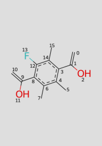 C=C(O)c1c(C)c(C)c(C(=C)O)c(F)c1C